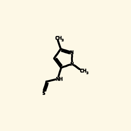 Cc1cc(NC=S)n(C)n1